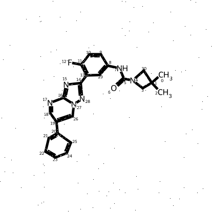 CC1(C)CN(C(=O)Nc2ccc(F)c(-c3nc4ncc(-c5ccccc5)cn4n3)c2)C1